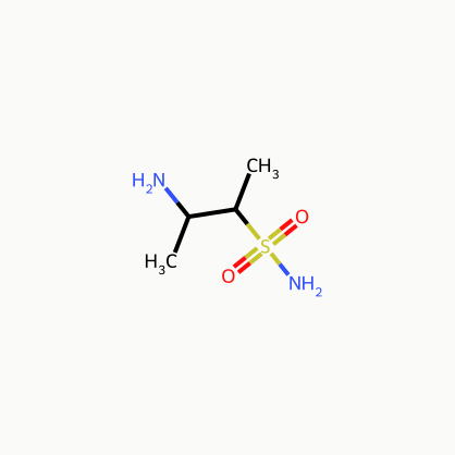 CC(N)C(C)S(N)(=O)=O